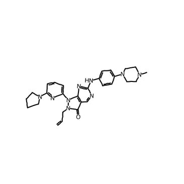 C=CCn1c(=O)c2cnc(Nc3ccc(N4CCN(C)CC4)cc3)nc2n1-c1cccc(N2CCCC2)n1